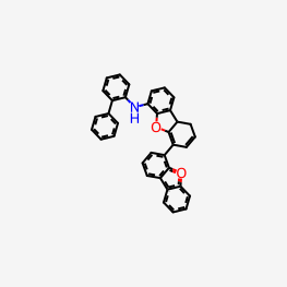 C1=CC(c2cccc3c2oc2ccccc23)=C2Oc3c(Nc4ccccc4-c4ccccc4)cccc3C2C1